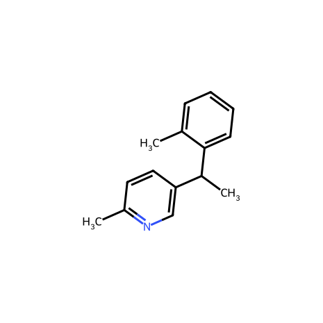 Cc1ccc(C(C)c2ccccc2C)cn1